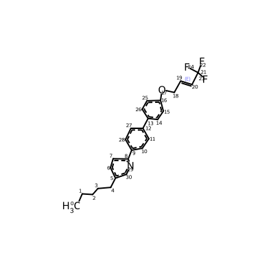 CCCCCc1ccc(-c2ccc(-c3ccc(OC/C=C/C(F)(F)F)cc3)cc2)nc1